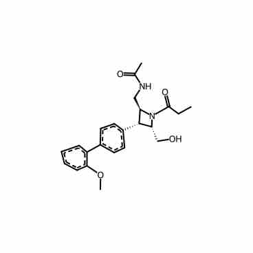 CCC(=O)N1[C@H](CO)[C@H](c2ccc(-c3ccccc3OC)cc2)[C@H]1CNC(C)=O